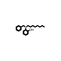 CCCCCCCCN(Cc1ccccc1)c1ccccc1O